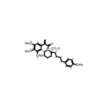 C=C(C(=O)N1CCCC[C@@]1(CCCCc1ccc(OC)cc1)C(=O)O)c1cc(OC)c(OC)c(OC)c1